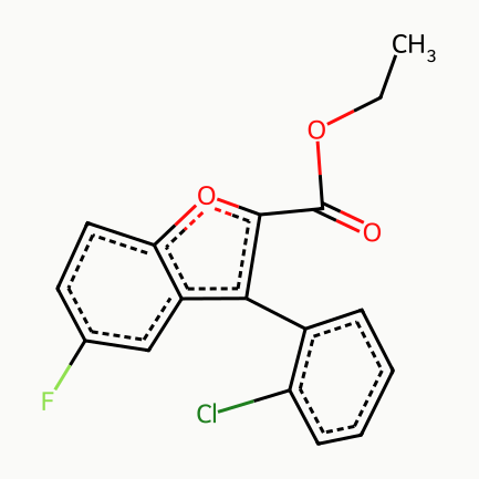 CCOC(=O)c1oc2ccc(F)cc2c1-c1ccccc1Cl